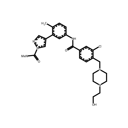 CNC(=O)n1cc(-c2cc(NC(=O)c3ccc(CN4CCN(CCO)CC4)c(Cl)c3)ccc2C)cn1